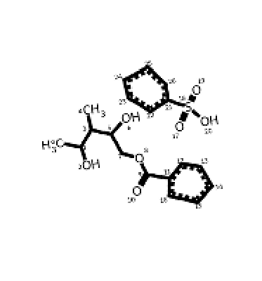 CC(O)C(C)C(O)COC(=O)c1ccccc1.O=S(=O)(O)c1ccccc1